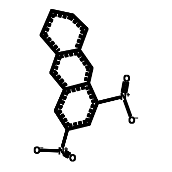 O=[N+]([O-])c1cc([N+](=O)[O-])c2cc3ccccc3cc2c1